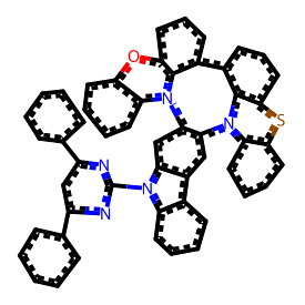 c1ccc(-c2cc(-c3ccccc3)nc(-n3c4ccccc4c4cc5c(cc43)n3c4ccccc4oc4cccc(c6cccc7sc8ccccc8n5c76)c43)n2)cc1